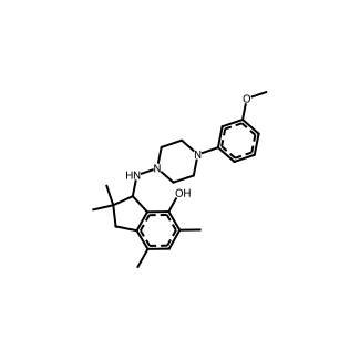 COc1cccc(N2CCN(NC3c4c(O)c(C)cc(C)c4CC3(C)C)CC2)c1